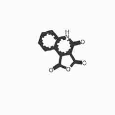 O=C1OC(=O)c2c1c(=O)[nH]c1ccccc21